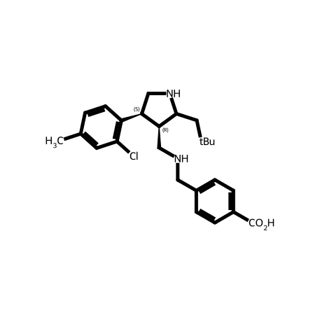 Cc1ccc([C@H]2CNC(CC(C)(C)C)[C@H]2CNCc2ccc(C(=O)O)cc2)c(Cl)c1